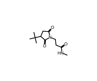 CNC(=O)CCN1C(=O)CC(C(C)(C)C)C1=O